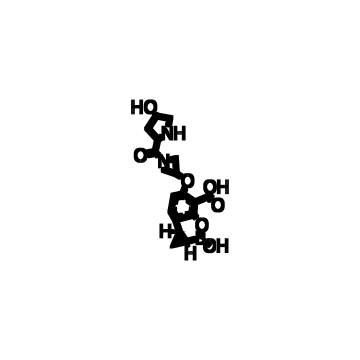 O=C(O)c1c(OC2CN(C(=O)C3CC(O)CN3)C2)ccc2c1OB(O)[C@@H]1C[C@H]21